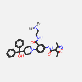 CCN(CC)CCNC(=O)c1cc(NC(=O)c2c(C)noc2C)ccc1N1CCC(C(O)(c2ccccc2)c2ccccc2)CC1